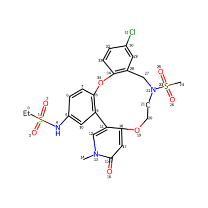 CCS(=O)(=O)Nc1ccc2c(c1)-c1cn(C)c(=O)cc1OCCN(S(C)(=O)=O)Cc1cc(Cl)ccc1O2